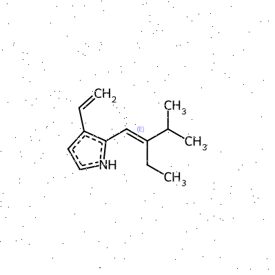 C=Cc1cc[nH]c1/C=C(\CC)C(C)C